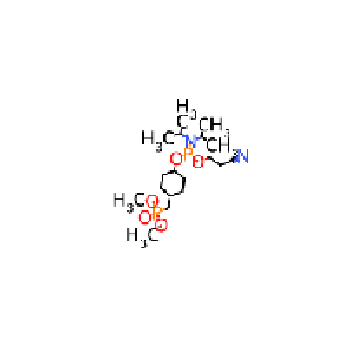 COP(=O)(C[C@H]1CC[C@@H](OP(OCCC#N)N(C(C)C)C(C)C)CC1)OC